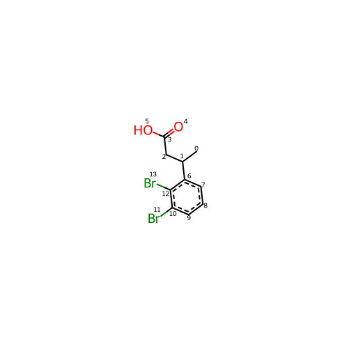 CC(CC(=O)O)c1cccc(Br)c1Br